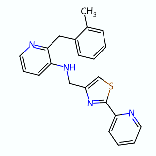 Cc1ccccc1Cc1ncccc1NCc1csc(-c2ccccn2)n1